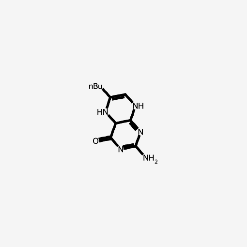 CCCCC1=CNC2=NC(N)=NC(=O)C2N1